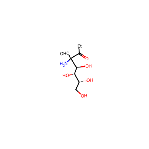 CCC(=O)[C@](N)(C=O)[C@@H](O)[C@@H](O)[C@H](O)CO